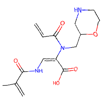 C=CC(=O)N(CC1CNCCO1)C(=CNC(=O)C(=C)C)C(=O)O